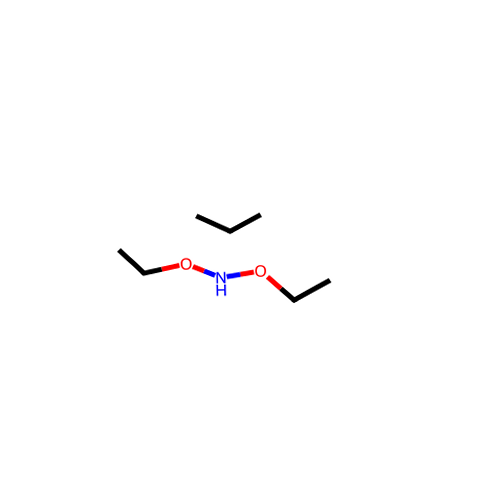 CCC.CCONOCC